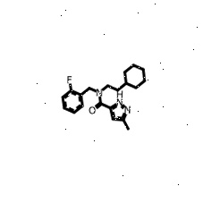 Cc1cc(C(=O)N(CCC2CCCCC2)Cc2ccccc2F)[nH]n1